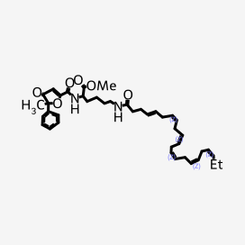 CC/C=C\C/C=C\C/C=C\C/C=C\C/C=C\CC=CCCC(=O)NCCCCC(NC(=O)C1=CC(=O)C(C)(c2ccccc2)O1)C(=O)OC